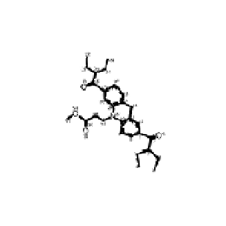 CCC(CC)C(=O)c1ccc2c(c1)Cc1ccc(C(=O)C(CC)CC)cc1N2CCC(=O)OC